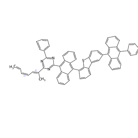 C=C/C=C\C=C(/C)c1nc(-c2ccccc2)nc(-c2c3ccccc3c(-c3cccc4c3sc3ccc(-c5c6ccccc6c(-c6ccccc6)c6ccccc56)cc34)c3ccccc23)n1